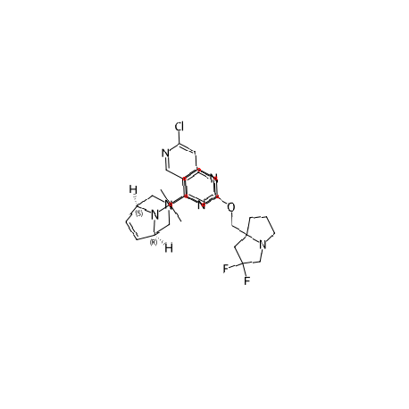 CC(C)(c1ccccc1)N1[C@@H]2C=C[C@H]1CN(c1nc(OCC34CCCN3CC(F)(F)C4)nc3cc(Cl)ncc13)C2